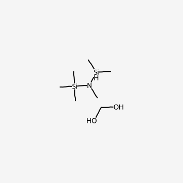 CN([SiH](C)C)[Si](C)(C)C.OCO